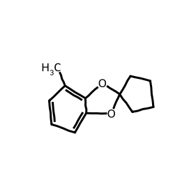 Cc1cccc2c1OC1(CCCC1)O2